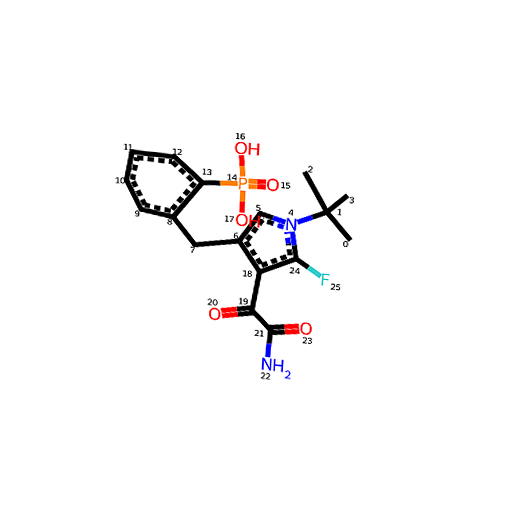 CC(C)(C)n1cc(Cc2ccccc2P(=O)(O)O)c(C(=O)C(N)=O)c1F